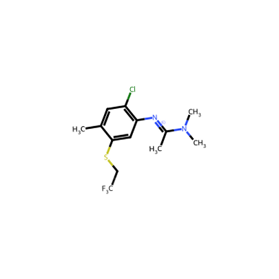 C/C(=N\c1cc(SCC(F)(F)F)c(C)cc1Cl)N(C)C